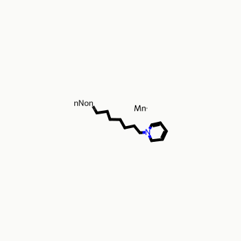 CCCCCCCCCCCCCCCCN1C=CC=CC1.[Mn]